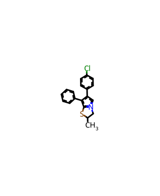 CC1Cn2cc(-c3ccc(Cl)cc3)c(-c3ccccc3)c2S1